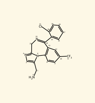 NCc1cnc2n1-c1ccc(C(F)(F)F)cc1C(c1ccccc1Cl)=NC2